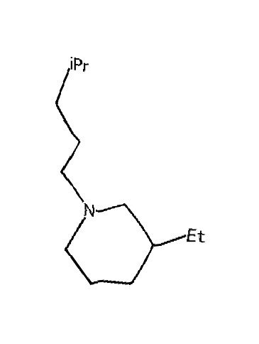 CCC1CCCN(CCCC(C)C)C1